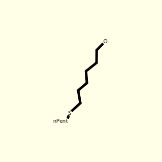 CCCCCSCCCCCC[O]